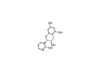 Oc1cc(O)c2c(c1)O[C@H](c1cccnc1O)[C@H](O)C2